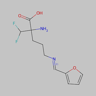 NC(CCC/N=C/c1ccco1)(C(=O)O)C(F)F